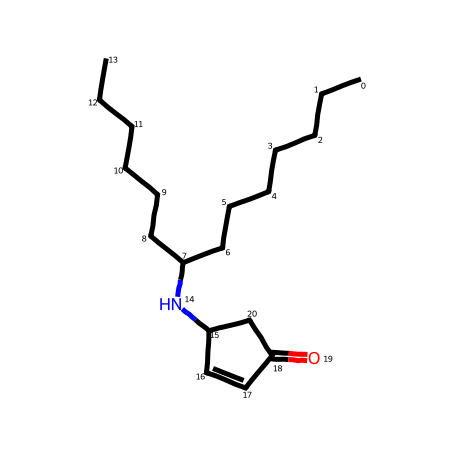 CCCCCCCC(CCCCCC)NC1C=CC(=O)C1